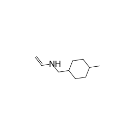 C=CNCC1CCC(C)CC1